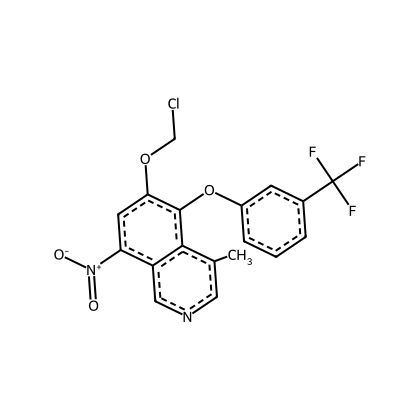 Cc1cncc2c([N+](=O)[O-])cc(OCCl)c(Oc3cccc(C(F)(F)F)c3)c12